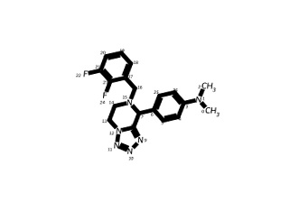 CN(C)c1ccc(C2c3nnnn3CCN2Cc2cccc(F)c2F)cc1